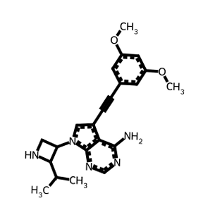 COc1cc(C#Cc2cn(C3CNC3[C](C)C)c3ncnc(N)c23)cc(OC)c1